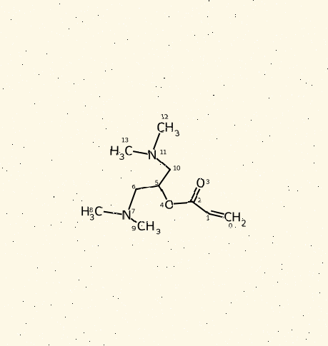 C=CC(=O)OC(CN(C)C)CN(C)C